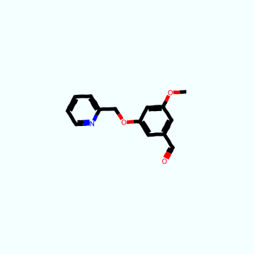 COc1cc(C=O)cc(OCc2ccccn2)c1